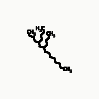 CCCCCCCCC([CH]C(CCCC)CCCC)CCCC